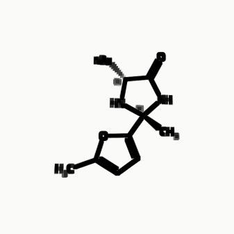 CCCC[C@H]1N[C@@](C)(c2ccc(C)o2)NC1=O